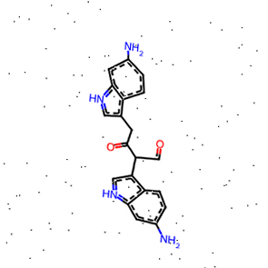 Nc1ccc2c(CC(=O)C(C=O)c3c[nH]c4cc(N)ccc34)c[nH]c2c1